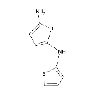 Nc1ccc(Nc2cccs2)o1